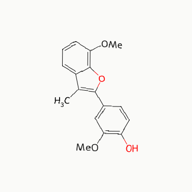 COc1cc(-c2oc3c(OC)cccc3c2C)ccc1O